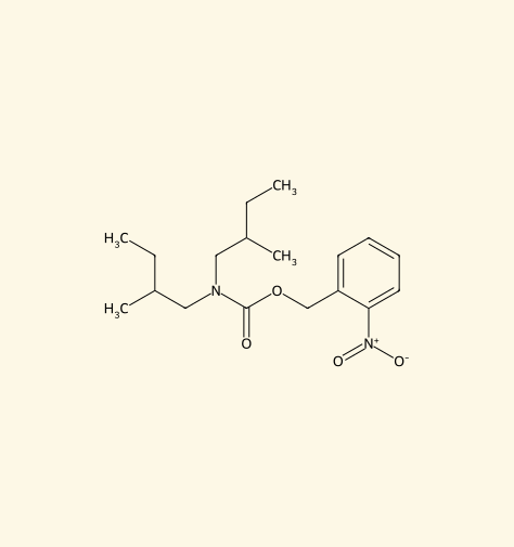 CCC(C)CN(CC(C)CC)C(=O)OCc1ccccc1[N+](=O)[O-]